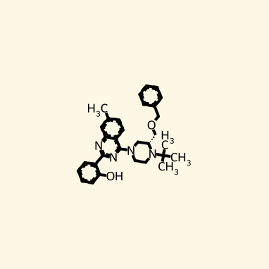 Cc1ccc2c(N3CCN(C(C)(C)C)[C@@H](COCc4ccccc4)C3)nc(-c3ccccc3O)nc2c1